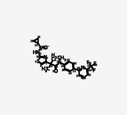 CN(C(=O)C(C)(C)c1csc(N[S+]([O-])C2CC2)n1)c1ccc(-c2cncc(C(F)(F)F)n2)cc1